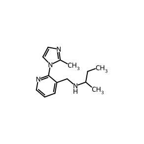 CCC(C)NCc1cccnc1-n1ccnc1C